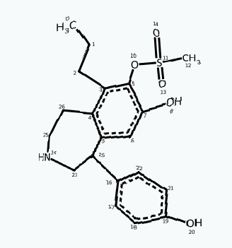 CCCc1c2c(cc(O)c1OS(C)(=O)=O)C(c1ccc(O)cc1)CNCC2